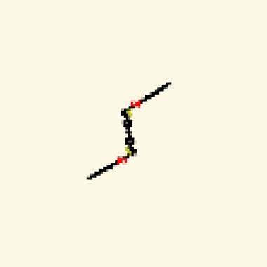 CCCCCCCCCCCCOCCc1ccc(-c2ccc(C#Cc3ccc(-c4ccc(CCOCCCCCCCCCCCC)s4)cc3)cc2)s1